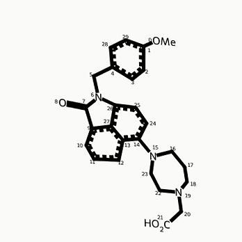 COc1ccc(CN2C(=O)c3cccc4c(N5CCCN(CC(=O)O)CC5)ccc2c34)cc1